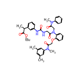 Cc1cc(C)cc(N(C)C(=O)COc2ccccc2N(CC(=O)N(C)c2ccccc2)C(=O)CNC(=O)Nc2cccc(C(C)C(=O)OC(C)(C)C)c2)c1